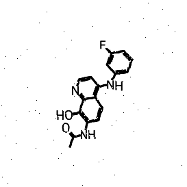 CC(=O)Nc1ccc2c(Nc3cccc(F)c3)ccnc2c1O